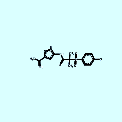 C=C(C)c1cc(NC(=O)C(C)(C)S(=O)(=O)c2ccc(Cl)cc2)[nH]n1